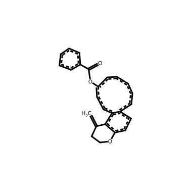 C=C1CCOc2ccc3cccccc(OC(=O)c4ccccc4)ccc3c21